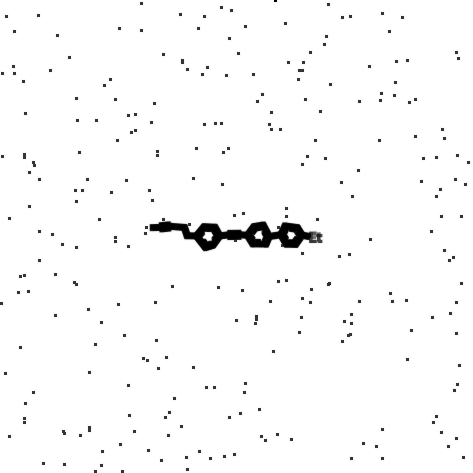 CC#CCCc1ccc(C#Cc2ccc(-c3ccc(CC)cc3)cc2)cc1